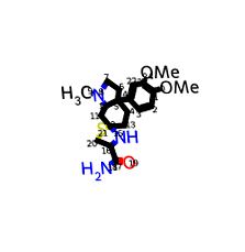 COc1ccc(C23CCN(C)C2CC2(CC3)NC(C(N)=O)CS2)cc1OC